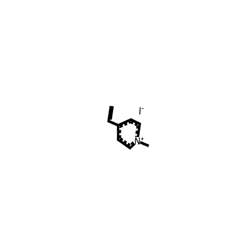 C=Cc1cc[n+](C)cc1.[I-]